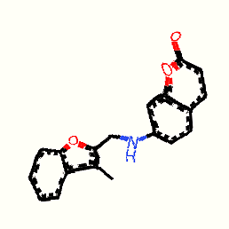 Cc1c(CNc2ccc3ccc(=O)oc3c2)oc2ccccc12